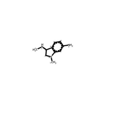 CNC1CN(C)c2cc(N)ccc21